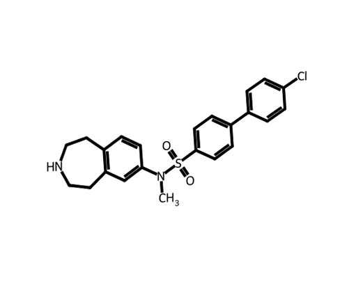 CN(c1ccc2c(c1)CCNCC2)S(=O)(=O)c1ccc(-c2ccc(Cl)cc2)cc1